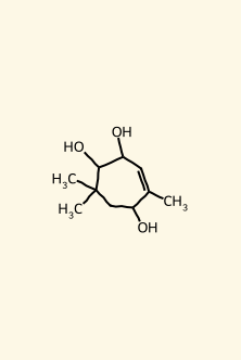 CC1=CC(O)C(O)C(C)(C)CC1O